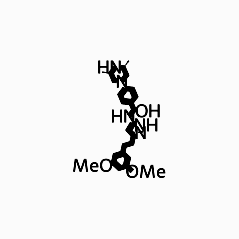 COc1cc(CCc2cc(NC(O)c3ccc(N4C[C@@H](C)N[C@@H](C)C4)cc3)[nH]n2)cc(OC)c1